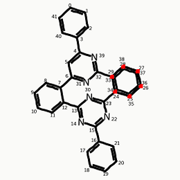 c1ccc(-c2cc(-c3ccccc3-c3nc(-c4ccccc4)nc(-c4ccccc4)n3)nc(-c3ccccc3)n2)cc1